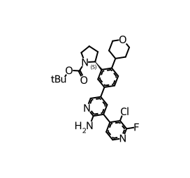 CC(C)(C)OC(=O)N1CCC[C@H]1c1cc(-c2cnc(N)c(-c3ccnc(F)c3Cl)c2)ccc1C1CCOCC1